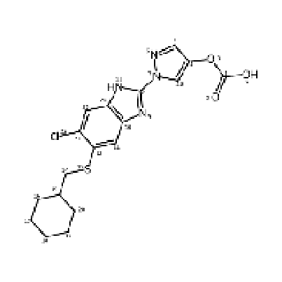 O=C(O)Oc1cnn(-c2nc3cc(SCC4CCCCC4)c(Cl)cc3[nH]2)c1